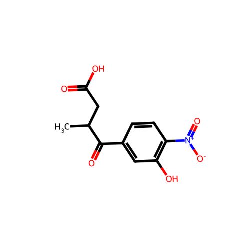 CC(CC(=O)O)C(=O)c1ccc([N+](=O)[O-])c(O)c1